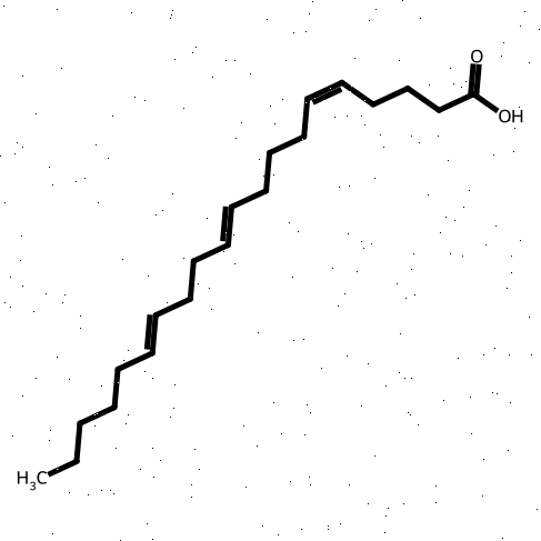 CCCCCC=CCCC=CCCC/C=C\CCCC(=O)O